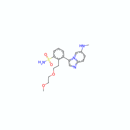 CNc1ccc2ncc(-c3cccc(S(N)(=O)=O)c3CCOCCOC)n2c1